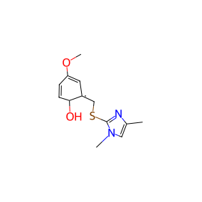 COC1=C[C](CSc2nc(C)cn2C)C(O)C=C1